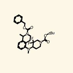 CC1c2cccc(N(C)C3CCN(C(=O)OC(C)(C)C)CC3(F)F)c2CCN1C(=O)OCc1ccccc1